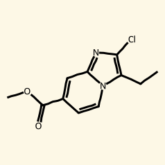 CCc1c(Cl)nc2cc(C(=O)OC)ccn12